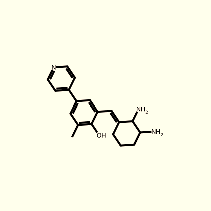 Cc1cc(-c2ccncc2)cc(C=C2CCCC(N)C2N)c1O